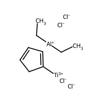 C[CH2][Al+][CH2]C.[Cl-].[Cl-].[Cl-].[Cl-].[Ti+3][C]1=CC=CC1